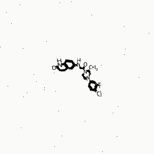 C[C@@H]1CN(c2ccc(Cl)c(F)c2)CCN1C(=O)CNc1ccc2c(c1)CCC(=O)N2